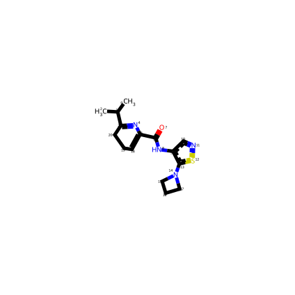 CC(C)C1=NC(C(=O)Nc2cnsc2N2CCC2)=CCC1